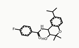 CC(C)c1ccc2c(c1)C(NC(=O)c1ccc(F)cc1)C(O)C(C)(C)O2